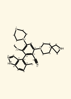 COc1c(N2CCOCC2)cc(N2CCC3(CC2)CNC3)c(C#N)c1-c1c(C)ccc2[nH]ncc12